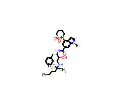 CCn1ccc2c(N3CCCCS3(=O)=O)cc(C(=O)N[C@@H](Cc3ccccc3)[C@H](O)CNC(C)(C)CCCC(C)C)cc21